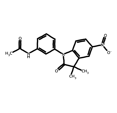 CC(=O)Nc1cccc(N2C(=O)C(C)(C)c3cc([N+](=O)[O-])ccc32)c1